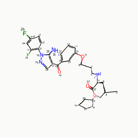 CC(C)C[C@H](NCCCOc1cccc(C(=O)c2cnn(-c3ccc(F)cc3F)c2N)c1)C(=O)OC1CCCC1